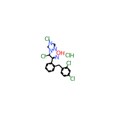 Cl.ON=C(c1ccccc1Cc1ccc(Cl)cc1Cl)C(Cl)N1CN(Cl)C=N1